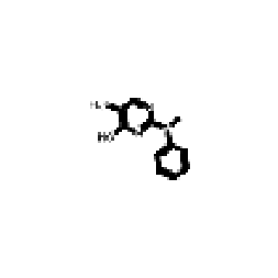 CN(c1ccccc1)c1ncc(N)c(O)n1